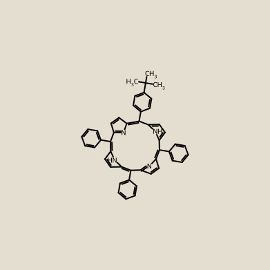 CC(C)(C)c1ccc(-c2c3nc(c(-c4ccccc4)c4ccc([nH]4)c(-c4ccccc4)c4nc(c(-c5ccccc5)c5ccc2[nH]5)C=C4)C=C3)cc1